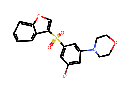 O=S(=O)(c1cc(Br)cc(N2CCOCC2)c1)c1coc2ccccc12